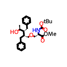 COC(=O)[C@H](COC[C@H](Cc1ccccc1)[C@@H](Cc1ccccc1)[C@H](C)O)NC(=O)OC(C)(C)C